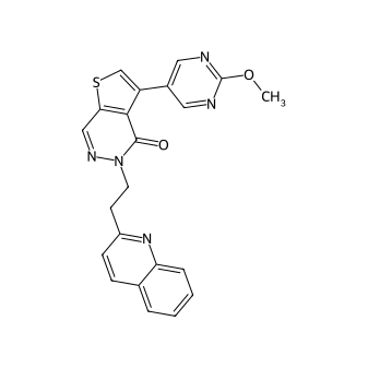 COc1ncc(-c2csc3cnn(CCc4ccc5ccccc5n4)c(=O)c23)cn1